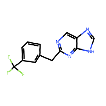 FC(F)(F)c1cccc(Cc2ncc3nc[nH]c3n2)c1